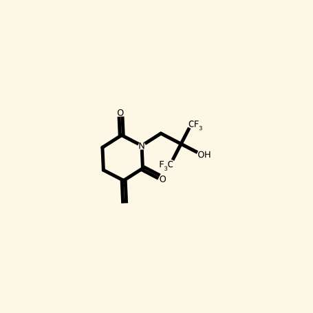 C=C1CCC(=O)N(CC(O)(C(F)(F)F)C(F)(F)F)C1=O